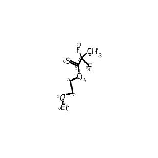 CCOCCOC(=S)C(C)(F)F